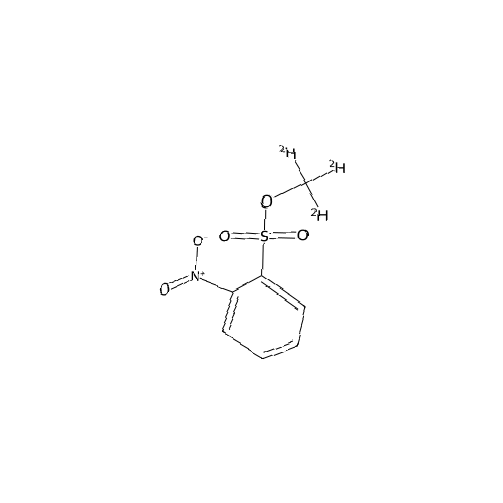 [2H]C([2H])([2H])OS(=O)(=O)c1ccccc1[N+](=O)[O-]